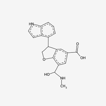 CNC(O)c1cc(C(=O)O)cc2c1OCC2c1cccc2[nH]ccc12